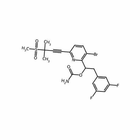 CC(C)(C#Cc1ccc(Br)c(C(Cc2cc(F)cc(F)c2)OC(N)=O)n1)S(C)(=O)=O